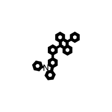 c1ccc(-c2c3ccccc3c(-c3cccc(-c4ccc5c6ccccc6n(-c6ccccc6)c5c4)c3)c3ccccc23)cc1